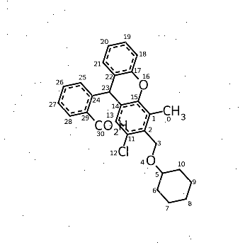 Cc1c(COC2CCCCC2)c(Cl)cc2c1Oc1ccccc1C2c1ccccc1C(=O)O